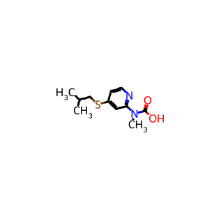 CC(C)CSc1ccnc(N(C)C(=O)O)c1